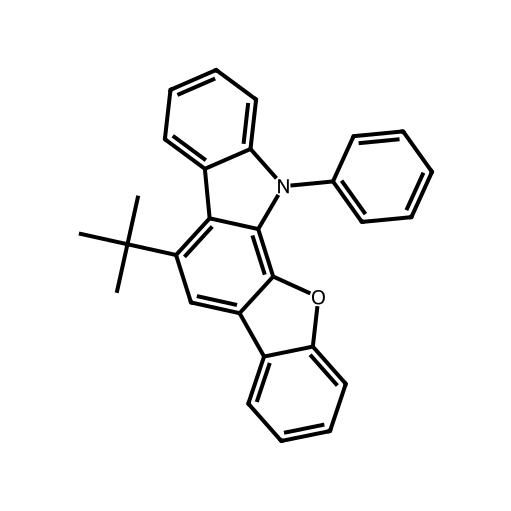 CC(C)(C)c1cc2c3ccccc3oc2c2c1c1ccccc1n2-c1ccccc1